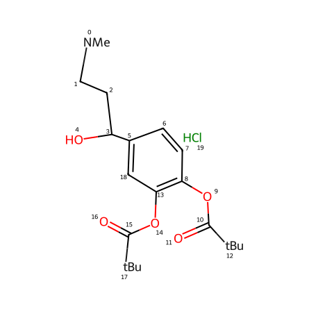 CNCCC(O)c1ccc(OC(=O)C(C)(C)C)c(OC(=O)C(C)(C)C)c1.Cl